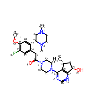 CCN1CCN(C[C@H](C(=O)N2CCN(c3ncnc4c3[C@H](C)C[C@H]4O)CC2)c2ccc(OC(F)(F)F)c(F)c2)CC1